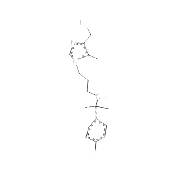 Cc1c(CO)ncn1CCCNC(C)(C)c1ccc(Cl)cc1